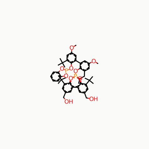 COc1cc(CC(C)C)c(Op2oc3c(C(C)(C)C)cc(CO)cc3c3cc(CO)cc(C(C)(C)C)c3o2)c(-c2cc(OC)cc(C(C)(C)C)c2OP2Oc3ccccc3O2)c1